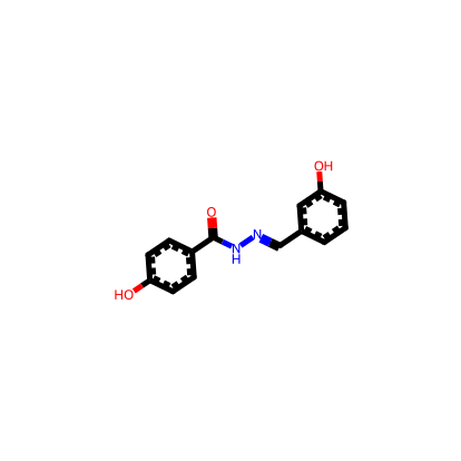 O=C(N/N=C/c1cccc(O)c1)c1ccc(O)cc1